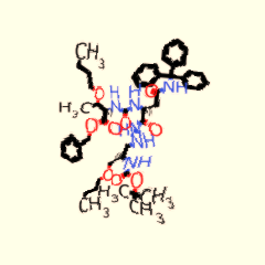 CCCCOC[C@@H](CNNC(=O)[C@H](CC(=O)NC(c1ccccc1)(c1ccccc1)c1ccccc1)NC(=O)N[C@H](C(=O)OCc1ccccc1)C(C)OCCCC)NC(=O)OC(C)(C)C